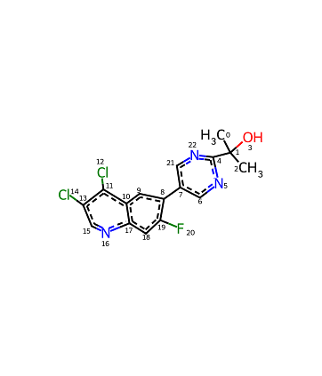 CC(C)(O)c1ncc(-c2cc3c(Cl)c(Cl)cnc3cc2F)cn1